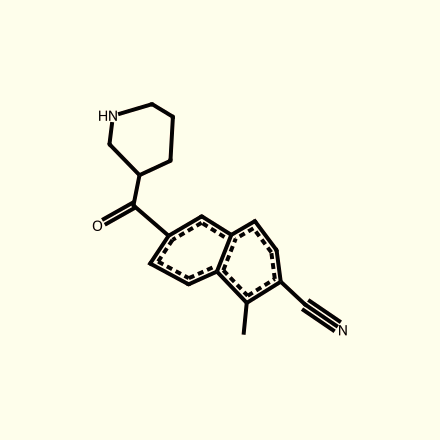 Cc1c(C#N)ccc2cc(C(=O)C3CCCNC3)ccc12